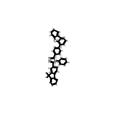 CC1(C)c2ccccc2-c2ccc(-c3nnc(-c4ccc(-c5cccc6c5oc5ccccc56)cc4)n3-c3ccccc3)cc21